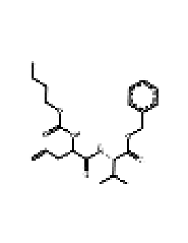 C=CCC(NC(=O)OCCCC)C(=O)N[C@H](C(=O)OCc1ccccc1)C(C)C